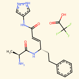 C[C@H](N)C(=O)N[C@H](/C=C/C(=O)Nc1cn[nH]c1)CCc1ccccc1.O=C(O)C(F)(F)F